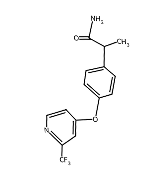 CC(C(N)=O)c1ccc(Oc2ccnc(C(F)(F)F)c2)cc1